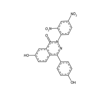 O=c1c2cc(O)ccc2c(-c2ccc(O)cc2)nn1-c1ccc([N+](=O)[O-])cc1[N+](=O)[O-]